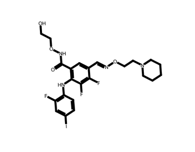 O=C(NOCCO)c1cc(/C=N/OCCN2CCCCC2)c(F)c(F)c1Nc1ccc(I)cc1F